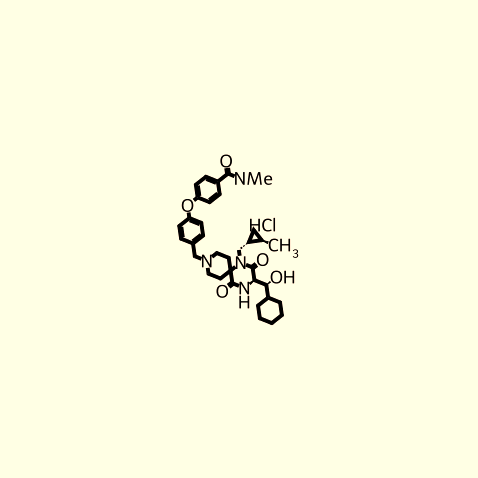 CNC(=O)c1ccc(Oc2ccc(CN3CCC4(CC3)C(=O)N[C@H]([C@H](O)C3CCCCC3)C(=O)N4C[C@@H]3C[C@H]3C)cc2)cc1.Cl